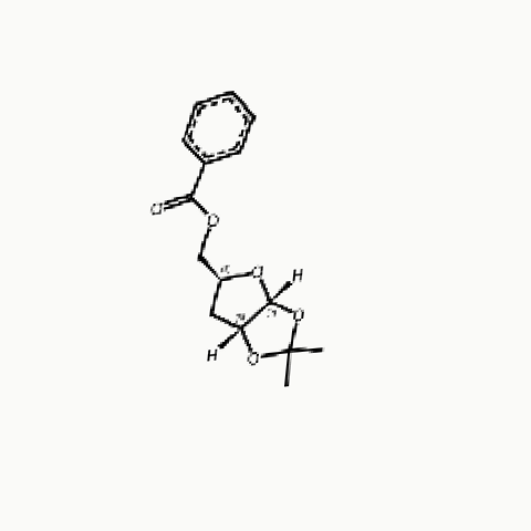 CC1(C)O[C@H]2O[C@H](COC(=O)c3ccccc3)C[C@H]2O1